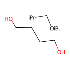 CC(C)COCC(C)C.OCCCCO